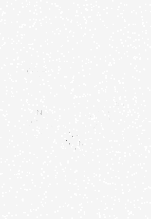 CC(C)(C)C(=O)Oc1ccc(-c2nnn(Cc3ccc(C(=O)NCCCCCC(=O)O)cc3)n2)cc1